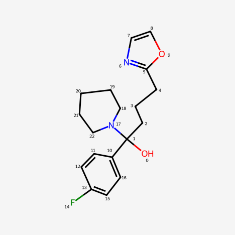 OC(CCCc1ncco1)(c1ccc(F)cc1)N1CCCCC1